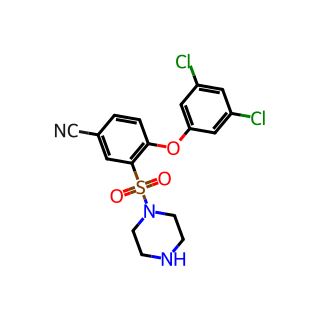 N#Cc1ccc(Oc2cc(Cl)cc(Cl)c2)c(S(=O)(=O)N2CCNCC2)c1